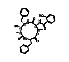 C[C@H]1OC(=O)C(Cc2ccccc2)NC(=O)[C@H](C)[C@H](O)[C@H](Cc2ccccc2)NC(=O)[C@H]1NC(=O)c1ccccc1O